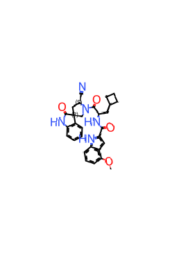 COc1cccc2[nH]c(C(=O)NC(CC3CCC3)C(=O)N3C[C@]4(C[C@H]3C#N)C(=O)Nc3ccccc34)cc12